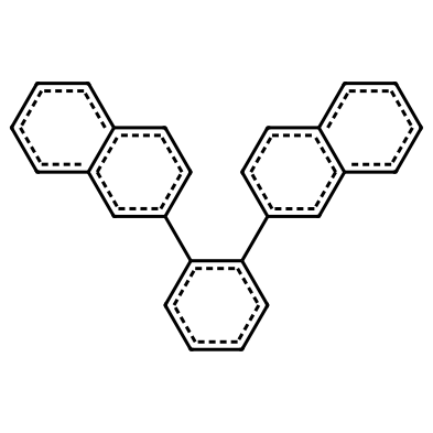 c1ccc(-c2ccc3ccccc3c2)c(-c2ccc3ccccc3c2)c1